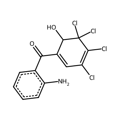 Nc1ccccc1C(=O)C1=CC(Cl)=C(Cl)C(Cl)(Cl)C1O